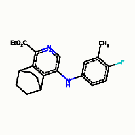 CCOC(=O)c1ncc(Nc2ccc(F)c(C)c2)c2c1C1CCC2CC1